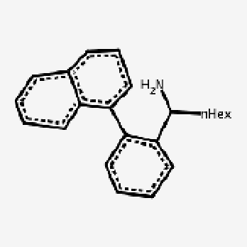 CCCCCCC(N)c1ccccc1-c1cccc2ccccc12